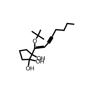 CCCCC#CC=C(OC(C)(C)C)C1(O)CCCC1(O)O